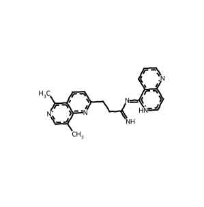 Cc1ncc(C)c2nc(CCC(=N)/N=c3\[nH]ccc4ncccc34)ccc12